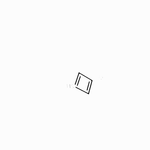 C1=C[SiH]=C1.[O]